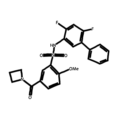 COc1ccc(C(=O)N2CCC2)cc1S(=O)(=O)Nc1cc(-c2ccccc2)c(F)cc1F